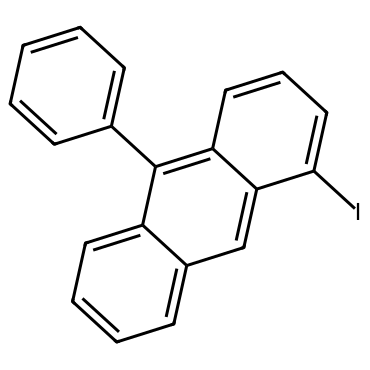 Ic1cccc2c(-c3ccccc3)c3ccccc3cc12